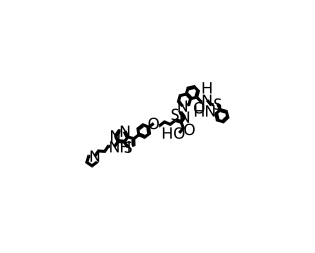 O=C(NC1Nc2ccccc2S1)c1cccc2c1CN(c1nc(C(=O)O)c(CCCOc3ccc(-c4csc5c(NCCCN6CCCC6)ncnc45)cc3)s1)CC2